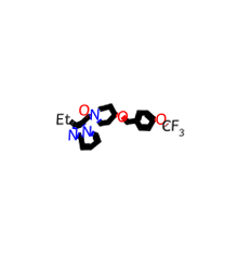 CCc1nc2ccccn2c1C(=O)N1CCC(OCc2ccc(OC(F)(F)F)cc2)CC1